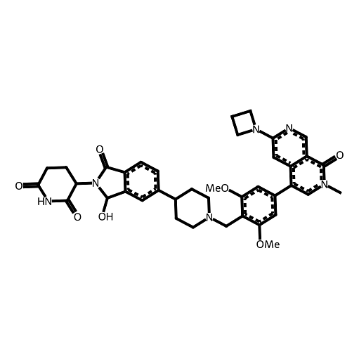 COc1cc(-c2cn(C)c(=O)c3cnc(N4CCC4)cc23)cc(OC)c1CN1CCC(c2ccc3c(c2)C(O)N(C2CCC(=O)NC2=O)C3=O)CC1